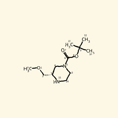 COC[C@@H]1CN(C(=O)OC(C)(C)C)CCN1